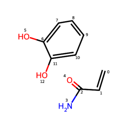 C=CC(N)=O.Oc1ccccc1O